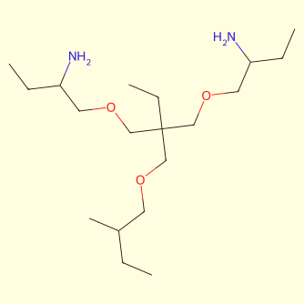 CCC(C)COCC(CC)(COCC(N)CC)COCC(N)CC